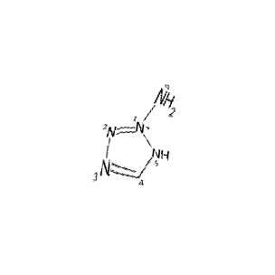 N[n+]1nnc[nH]1